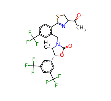 CC(=O)C1CSC(c2ccc(C(F)(F)F)cc2CN2C(=O)O[C@H](c3cc(C(F)(F)F)cc(C(F)(F)F)c3)[C@@H]2C)=N1